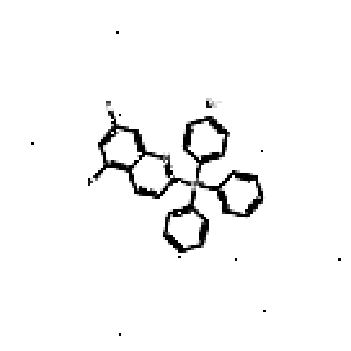 Fc1cc(F)c2ccc([P+](c3ccccc3)(c3ccccc3)c3ccccc3)nc2c1.[Br-]